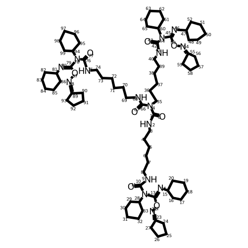 O=C(NCCCCCCNC(=O)N(/C(=N/C1CCCCC1)ON=C1CCCC1)C1CCCCC1)N(CCCCCCNC(=O)N(/C(=N/C1CCCCC1)ON=C1CCCC1)C1CCCCC1)C(=O)NCCCCCCNC(=O)N(/C(=N/C1CCCCC1)ON=C1CCCC1)C1CCCCC1